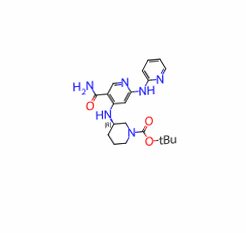 CC(C)(C)OC(=O)N1CCC[C@@H](Nc2cc(Nc3ccccn3)ncc2C(N)=O)C1